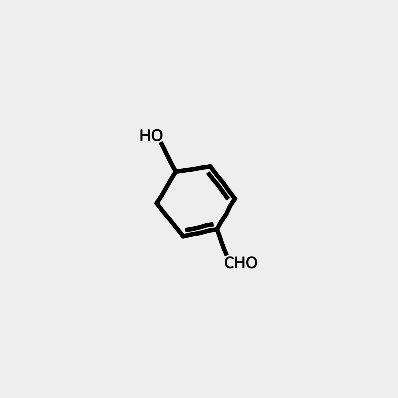 O=CC1=CCC(O)C=C1